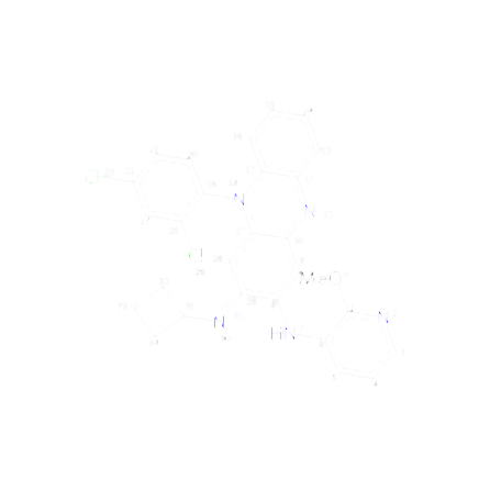 COc1ncccc1Nc1cc2nc3ccccc3n(-c3ccc(Cl)cc3Cl)c-2c/c1=N\C1CCC1